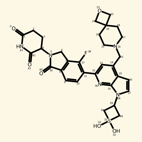 O=C1CCC(N2Cc3c(ccc(-c4cc(CN5CCC6(CC5)COC6)c5ccn(C6CS(O)(O)C6)c5n4)c3F)C2=O)C(=O)N1